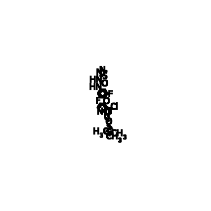 C[Si](C)(C)CCOCn1cc(Cl)c2c(Oc3c(F)cc(NC(=O)Nc4nncs4)cc3F)ccnc21